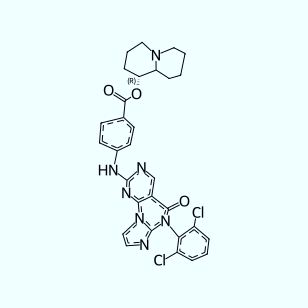 O=C(O[C@@H]1CCCN2CCCCC12)c1ccc(Nc2ncc3c(=O)n(-c4c(Cl)cccc4Cl)c4nccn4c3n2)cc1